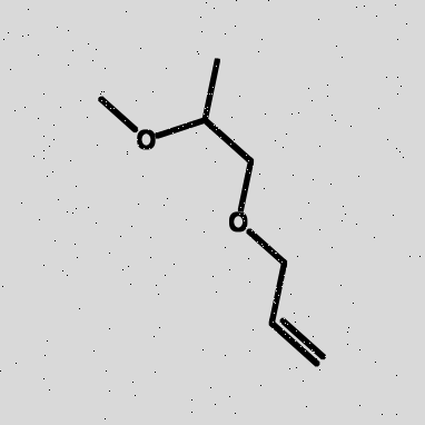 C=CCOCC(C)OC